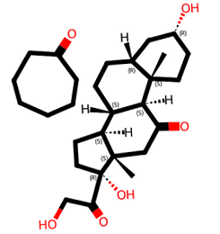 C[C@]12CC[C@@H](O)C[C@H]1CC[C@@H]1[C@@H]2C(=O)C[C@@]2(C)[C@H]1CC[C@]2(O)C(=O)CO.O=C1CCCCCC1